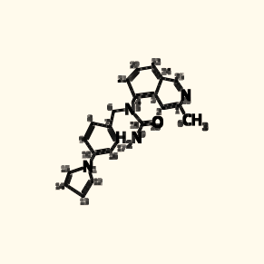 Cc1cc2c(N(Cc3ccc(-n4cccc4)cc3)C(N)=O)cccc2cn1